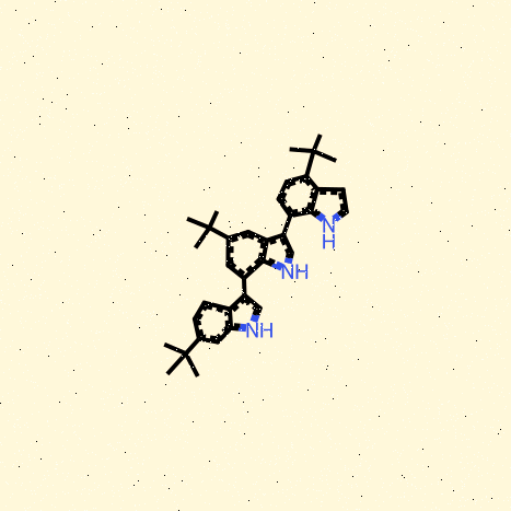 CC(C)(C)c1ccc2c(-c3cc(C(C)(C)C)cc4c(-c5ccc(C(C)(C)C)c6cc[nH]c56)c[nH]c34)c[nH]c2c1